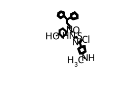 CNc1ccc(-c2nc(NC(=O)N(CCC(c3ccccc3)c3ccccc3)[C@H]3CC[C@H](O)CC3)sc2Cl)cc1